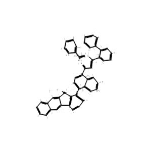 CC1(C)c2cc3ccccc3cc2-c2cccc(-c3ccc(-c4cc(-c5ccccc5-c5ccccc5)nc(-c5ccccc5)n4)c4ccccc34)c21